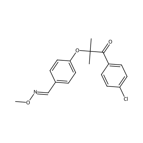 CON=Cc1ccc(OC(C)(C)C(=O)c2ccc(Cl)cc2)cc1